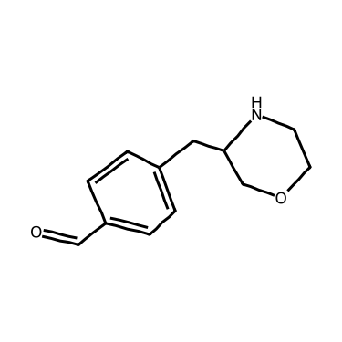 O=Cc1ccc(CC2COCCN2)cc1